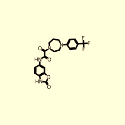 O=C(Nc1ccc2[nH]c(=O)oc2c1)C(=O)N1CCCN(c2ccc(C(F)(F)F)cc2)CC1